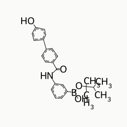 CC(C)C(C)(C)OB(O)c1cccc(NC(=O)c2ccc(-c3ccc(O)cc3)cc2)c1